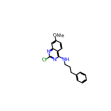 COc1ccc2c(NCCCc3ccccc3)nc(Cl)nc2c1